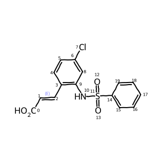 O=C(O)/C=C/c1ccc(Cl)cc1NS(=O)(=O)c1ccccc1